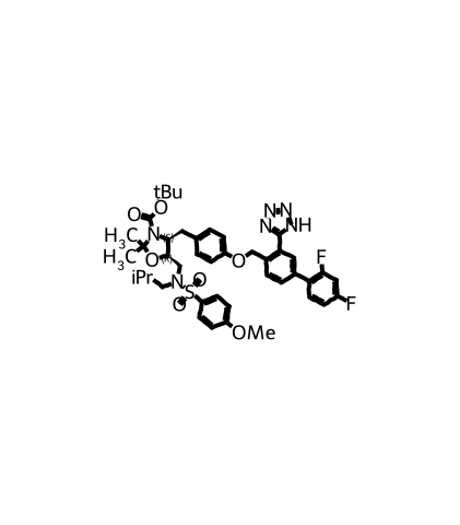 COc1ccc(S(=O)(=O)N(CC(C)C)C[C@H]2OC(C)(C)N(C(=O)OC(C)(C)C)[C@H]2Cc2ccc(OCc3ccc(-c4ccc(F)cc4F)cc3-c3nnn[nH]3)cc2)cc1